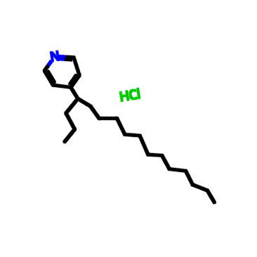 CCCCCCCCCCCCC(CCC)c1ccncc1.Cl